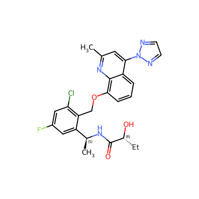 CC[C@@H](O)C(=O)N[C@@H](C)c1cc(F)cc(Cl)c1COc1cccc2c(-n3nccn3)cc(C)nc12